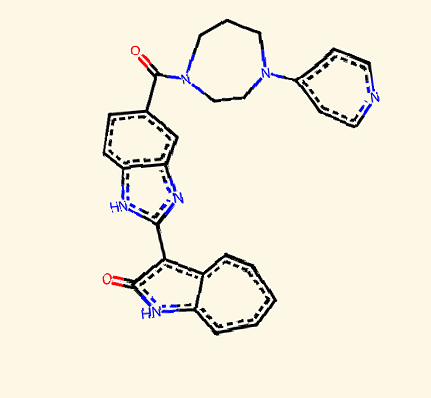 O=C(c1ccc2[nH]c(-c3c4cccccc-4[nH]c3=O)nc2c1)N1CCCN(c2ccncc2)CC1